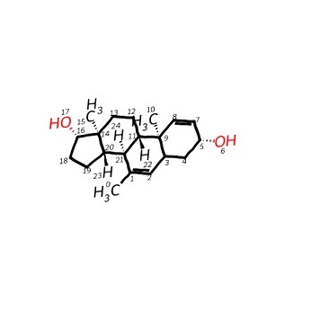 CC1=CC2C[C@@H](O)C=C[C@]2(C)[C@H]2CC[C@]3(C)[C@@H](O)CC[C@H]3[C@H]12